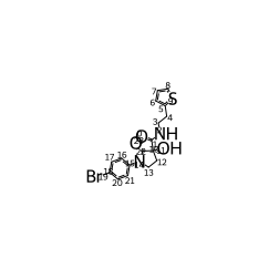 O=C(NCCc1cccs1)[C@]1(O)CCN(c2ccc(Br)cc2)C1=O